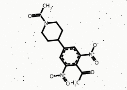 CC(=O)c1c([N+](=O)[O-])cc(C2CCN(C(C)=O)CC2)cc1[N+](=O)[O-]